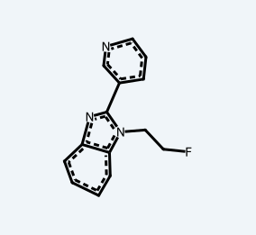 FCCn1c(-c2cccnc2)nc2ccccc21